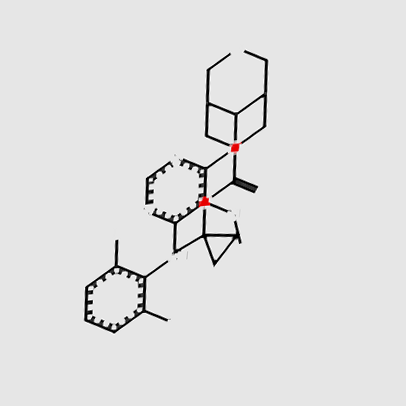 CNc1c(Nc2c(F)cccc2F)ncnc1OC1C2COCC1CN(C(=O)OC1(C)CC1)C2